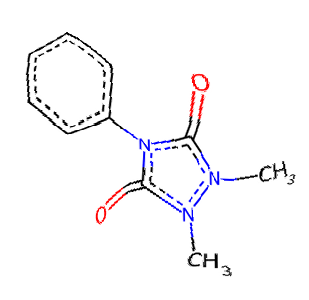 Cn1c(=O)n(-c2ccccc2)c(=O)n1C